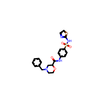 O=C(Nc1ccc(S(=O)(=O)Nc2nccs2)cc1)C1CN(Cc2ccccc2)CCO1